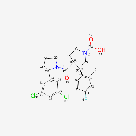 Cc1cc(F)ccc1[C@@H]1CN(C(=O)O)CC[C@H]1C(=O)N1CCCC1c1cc(Cl)cc(Cl)c1